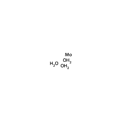 O.O.O.[Mo]